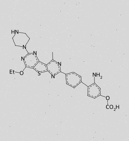 CCOc1nc(N2CCNCC2)nc2c1sc1nc(-c3ccc(-c4ccc(OC(=O)O)cc4N)cc3)nc(C)c12